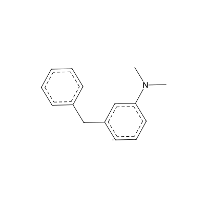 CN(C)c1cc[c]c(Cc2ccccc2)c1